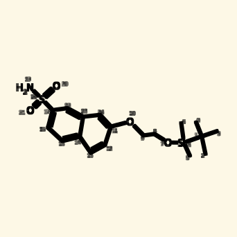 CC(C)(C)[Si](C)(C)OCCOc1ccc2ccc(S(N)(=O)=O)cc2c1